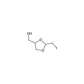 OCC1COC(CI)O1